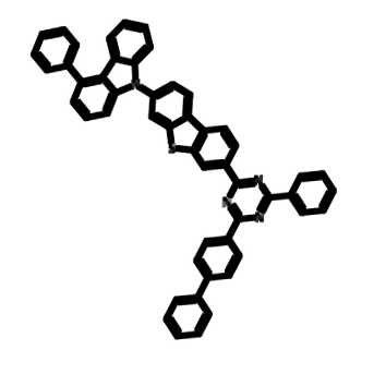 c1ccc(-c2ccc(-c3nc(-c4ccccc4)nc(-c4ccc5c(c4)sc4cc(-n6c7ccccc7c7c(-c8ccccc8)cccc76)ccc45)n3)cc2)cc1